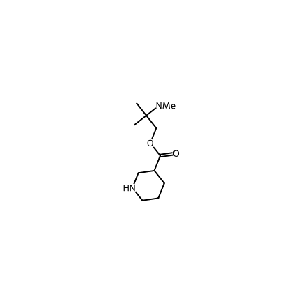 CNC(C)(C)COC(=O)C1CCCNC1